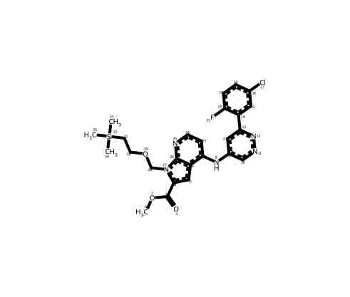 COC(=O)c1cc2c(Nc3cnnc(-c4cc(Cl)ccc4F)c3)ccnc2n1COCC[Si](C)(C)C